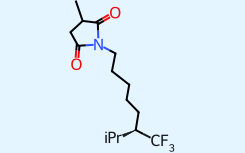 CC1CC(=O)N(CCCCC[C@H](C(C)C)C(F)(F)F)C1=O